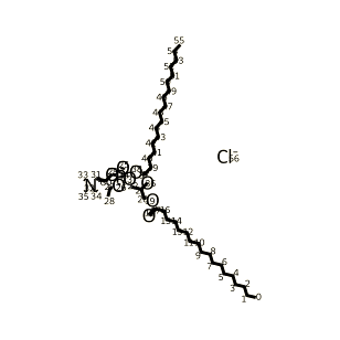 CCCCCCCCCCCCCCCCCC(=O)OCC(COP(=O)(OCC)OCC[N+](C)(C)C)OC(=O)CCCCCCCCCCCCCCCCC.[Cl-]